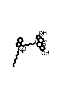 CCCCCCCCN(C(C)=O)c1ccc2ccccc2c1CCCCCC[C@@H]1Cc2cc(O)ccc2[C@@H]2[C@@H]1[C@@H]1CC[C@H](O)[C@@]1(C)C[C@@H]2F